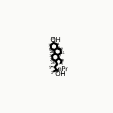 CCCC(C)(O)[C@@H](C)[C@H]1CCC2C3CC=C4C[C@@H](O)CC[C@]4(C)C3CC[C@@]21C